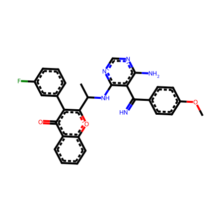 COc1ccc(C(=N)c2c(N)ncnc2NC(C)c2oc3ccccc3c(=O)c2-c2cccc(F)c2)cc1